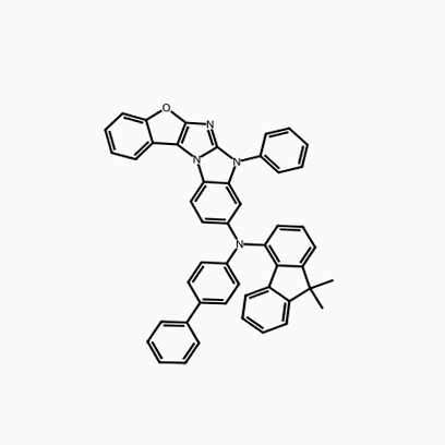 CC1(C)c2ccccc2-c2c(N(c3ccc(-c4ccccc4)cc3)c3ccc4c(c3)n(-c3ccccc3)c3nc5oc6ccccc6c5n43)cccc21